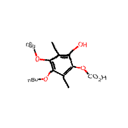 CCCCOc1c(C)c(O)c(OC(=O)O)c(C)c1OCCCC